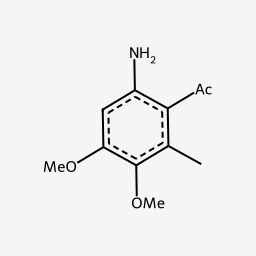 COc1cc(N)c(C(C)=O)c(C)c1OC